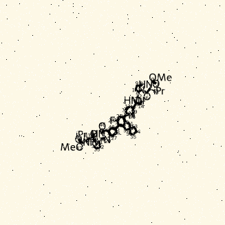 COC(=O)N[C@H](C(=O)N1CCC[C@H]1c1ncc(-c2ccc(-c3cc(F)c(-c4ccc5nc([C@@H]6CCCN6C(=O)[C@H](NC(=O)OC)C(C)C)[nH]c(=O)c5c4)c4c3CC3(CCCC3)C4)nc2)[nH]1)C(C)C